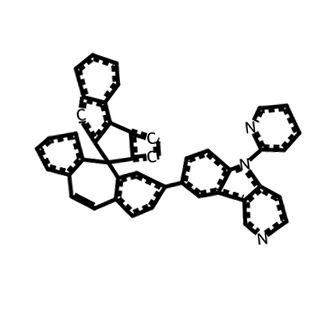 C1=Cc2ccc(-c3ccc4c(c3)c3cnccc3n4-c3ccccn3)cc2C2(c3ccccc31)c1ccccc1-c1c2ccc2ccccc12